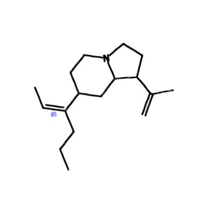 C=C(C)C1CCN2CCC(/C(=C\C)CCC)CC12